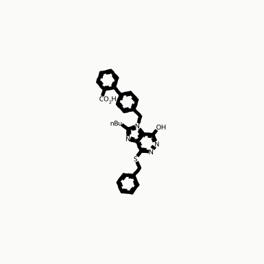 CCCCc1nc2c(SCc3ccccc3)nnc(O)c2n1Cc1ccc(-c2ccccc2C(=O)O)cc1